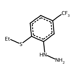 CCSc1ccc(C(F)(F)F)cc1NN